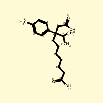 Cc1ccc(C(CCCCCCC(=O)O)(CC(=O)O)C(C)C)cc1